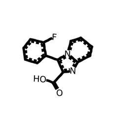 O=C(O)c1nc2ccccn2c1-c1ccccc1F